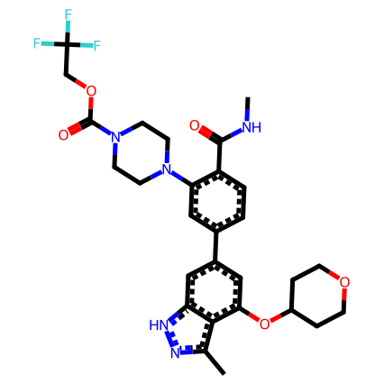 CNC(=O)c1ccc(-c2cc(OC3CCOCC3)c3c(C)n[nH]c3c2)cc1N1CCN(C(=O)OCC(F)(F)F)CC1